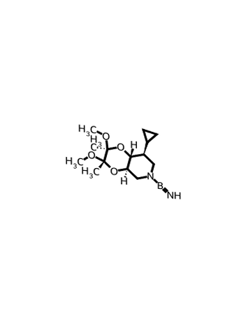 CO[C@@]1(C)O[C@@H]2[C@@H](C3CC3)CN(B=N)C[C@H]2O[C@]1(C)OC